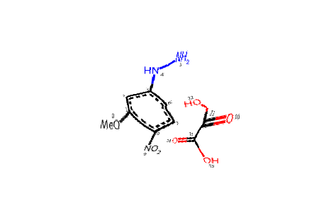 COc1cc(NN)ccc1[N+](=O)[O-].O=C(O)C(=O)O